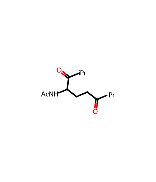 CC(=O)NC(CCC(=O)C(C)C)C(=O)C(C)C